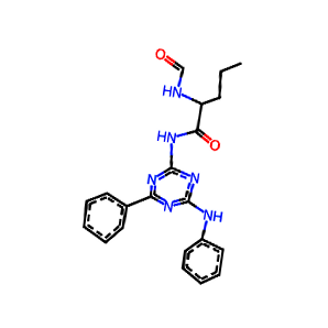 CCCC(NC=O)C(=O)Nc1nc(Nc2ccccc2)nc(-c2ccccc2)n1